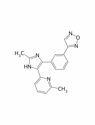 Cc1cccc(-c2[nH]c(C)nc2-c2cccc(-c3cnon3)c2)n1